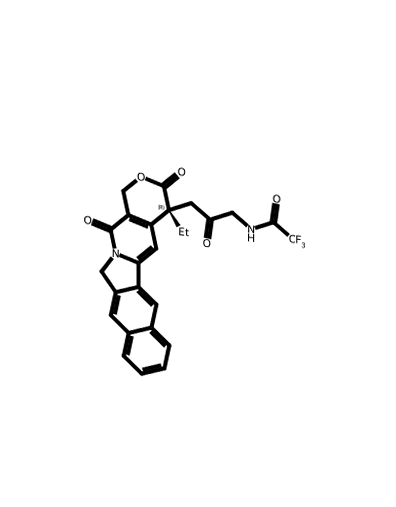 CC[C@]1(CC(=O)CNC(=O)C(F)(F)F)C(=O)OCc2c1cc1n(c2=O)Cc2cc3ccccc3cc2-1